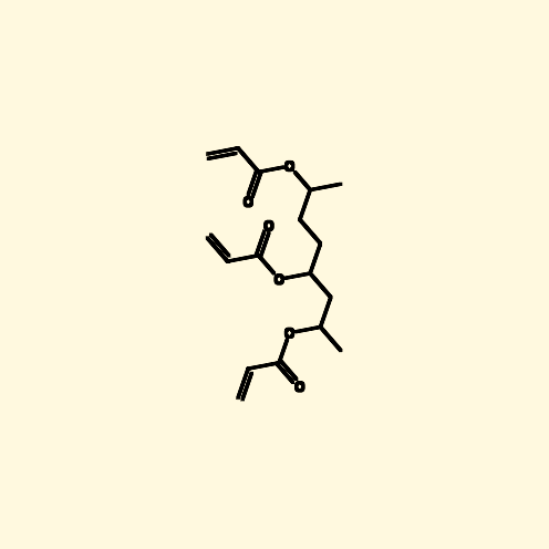 C=CC(=O)OC(C)CCC(CC(C)OC(=O)C=C)OC(=O)C=C